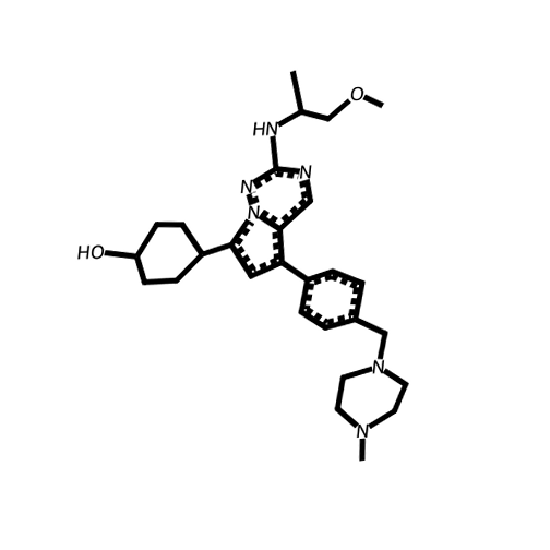 COCC(C)Nc1ncc2c(-c3ccc(CN4CCN(C)CC4)cc3)cc(C3CCC(O)CC3)n2n1